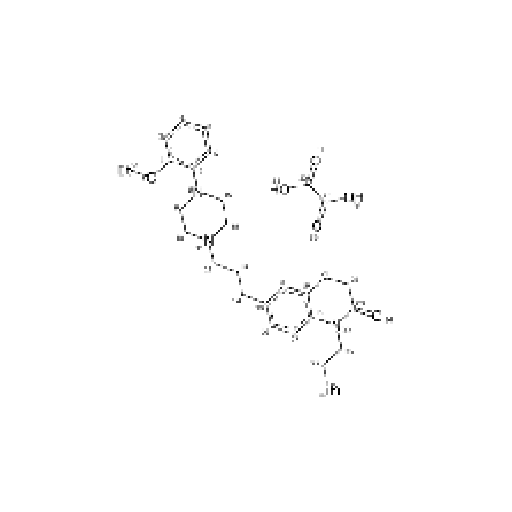 CCOc1ccccc1N1CCN(CCCc2ccc3c(c2)CCC(=O)N3CCC(C)C)CC1.O=C(O)C(=O)O